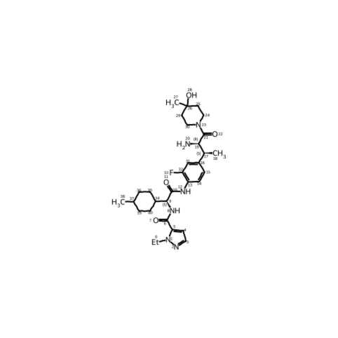 CCn1nccc1C(=O)N[C@H](C(=O)Nc1ccc([C@H](C)[C@@H](N)C(=O)N2CCC(C)(O)CC2)cc1F)C1CCC(C)CC1